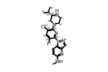 CNc1ccc2c(cnn2-c2nc(N3CCN[C@H](C(C)C)C3)c(Cl)cc2F)n1